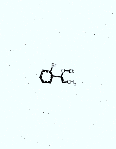 CC=C(OCC)c1ccccc1Br